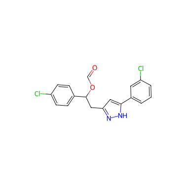 O=COC(Cc1cc(-c2cccc(Cl)c2)[nH]n1)c1ccc(Cl)cc1